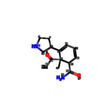 CCC(C)C(=O)C1(C)C(C2CCNC2)=CC=CC1C(N)=O